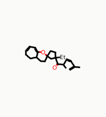 C=C(C)/C=C\C(C)C(=O)C1(CC)CCC2(CCC3CCC=CC=C3O2)C1